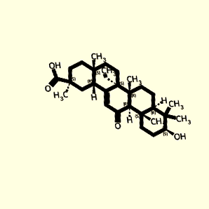 CC[C@@]12CC[C@@]3(C)CC[C@](C)(C(=O)O)C[C@H]3C1=CC(=O)[C@@H]1[C@@]3(C)CC[C@H](O)C(C)(C)[C@@H]3CC[C@]12C